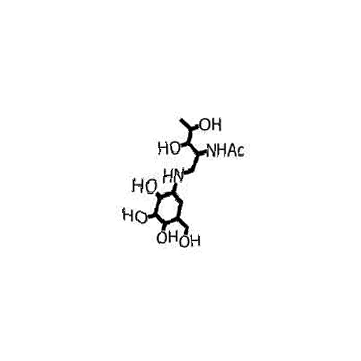 CC(=O)NC(CNC1CC(CO)C(O)C(O)C1O)C(O)C(C)O